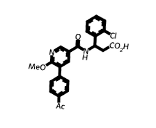 COc1ncc(C(=O)NC(CC(=O)O)c2ccccc2Cl)cc1-c1ccc(C(C)=O)cc1